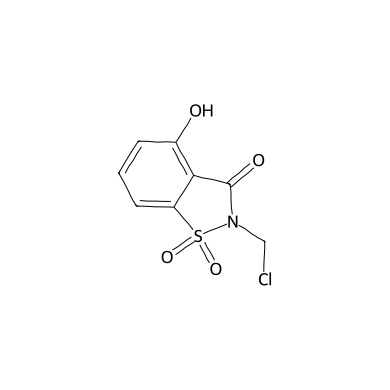 O=C1c2c(O)cccc2S(=O)(=O)N1CCl